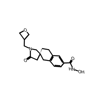 O=C(NO)c1ccc2c(c1)CC[C@@]1(CC(=O)N(CC3COC3)C1)C2